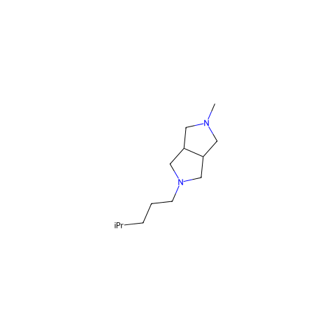 CC(C)CCCN1CC2CN(C)CC2C1